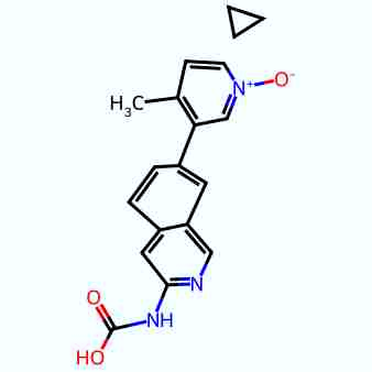 C1CC1.Cc1cc[n+]([O-])cc1-c1ccc2cc(NC(=O)O)ncc2c1